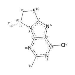 Cc1nc(Cl)c2nc3n(c2n1)[C@H](C)CS3